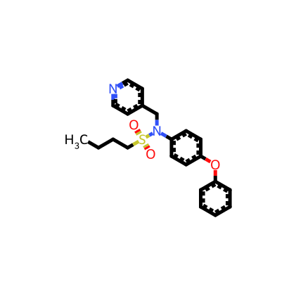 CCCCS(=O)(=O)N(Cc1ccncc1)c1ccc(Oc2ccccc2)cc1